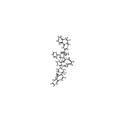 c1ccc(C2=NC(c3cccc4oc5c(-c6ccc7c(c6)sc6c8ccccc8ccc76)cccc5c34)NC(c3ccc4ccc5ccccc5c4c3)=N2)cc1